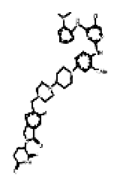 COc1cc(N2CCC(N3CCN(Cc4cc5c(cc4F)C(=O)N(C4CCC(=O)NC4=O)C5)CC3)CC2)ccc1Nc1ncc(Cl)c(Nc2ccccc2P(C)C)n1